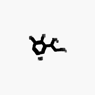 Cl.NC(C[N+](=O)[O-])c1cccc(Cl)c1Cl